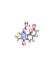 CCNc1sccc1C(=O)c1ccc2ccc(=O)oc2c1